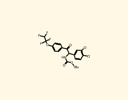 CC(C)(C)OC(=O)NC(C(=O)c1ccc(OC(F)(F)C(F)F)cc1)c1ccc(Cl)c(Cl)c1